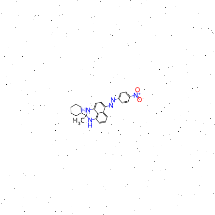 CC1(C2CCCCC2)Nc2cccc3c(N=Nc4ccc([N+](=O)[O-])cc4)ccc(c23)N1